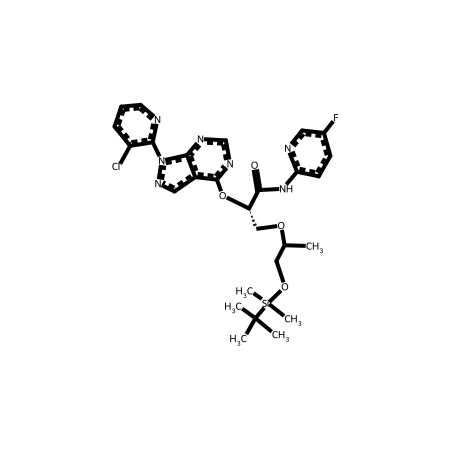 CC(CO[Si](C)(C)C(C)(C)C)OC[C@H](Oc1ncnc2c1cnn2-c1ncccc1Cl)C(=O)Nc1ccc(F)cn1